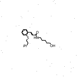 CC(C)CCSc1ccccc1/C=C/C(=O)NCCCCCO